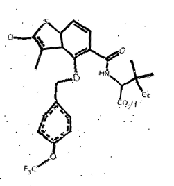 CCC(C)(C)C(NC(=O)C1=C(OCc2ccc(OC(F)(F)F)cc2)C2C(C)=C(Cl)SC2C=C1)C(=O)O